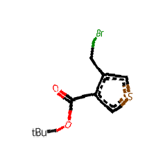 CC(C)(C)OC(=O)c1cscc1CBr